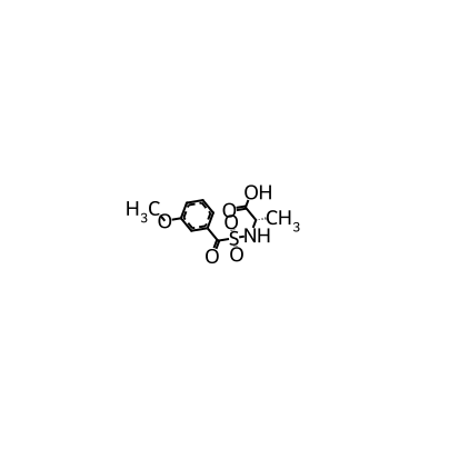 COc1cccc(C(=O)S(=O)(=O)N[C@@H](C)C(=O)O)c1